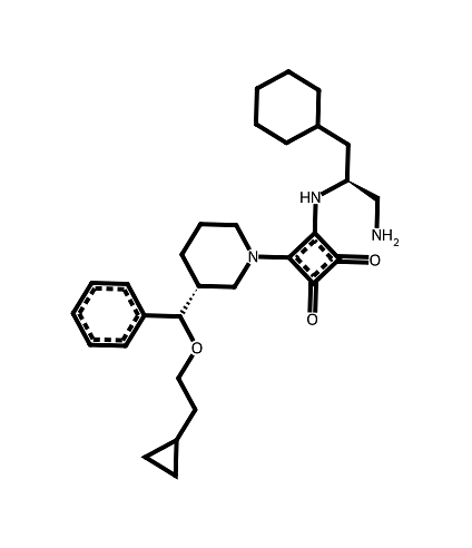 NC[C@H](CC1CCCCC1)Nc1c(N2CCC[C@@H](C(OCCC3CC3)c3ccccc3)C2)c(=O)c1=O